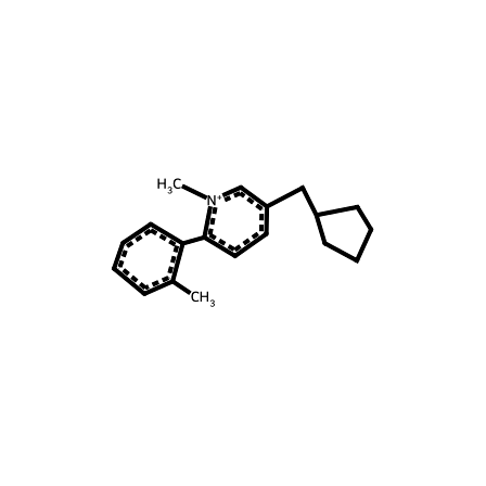 Cc1ccccc1-c1ccc(CC2CCCC2)c[n+]1C